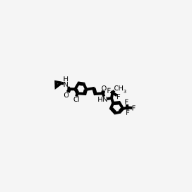 CC(F)(F)C(NC(=O)C=Cc1ccc(C(=O)NC2CC2)c(Cl)c1)c1cccc(C(F)(F)F)c1